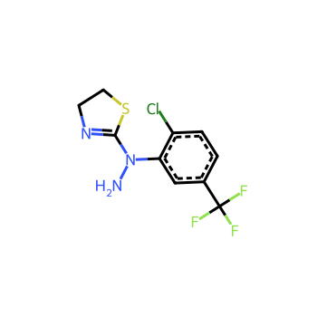 NN(C1=NCCS1)c1cc(C(F)(F)F)ccc1Cl